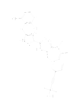 C=C(C#CC(C)(C)O)/C=C\C1=C(C)N(C)C(=O)C(NC(=O)c2n[nH]c(Cc3c(Cl)cccc3Cl)n2)CO1